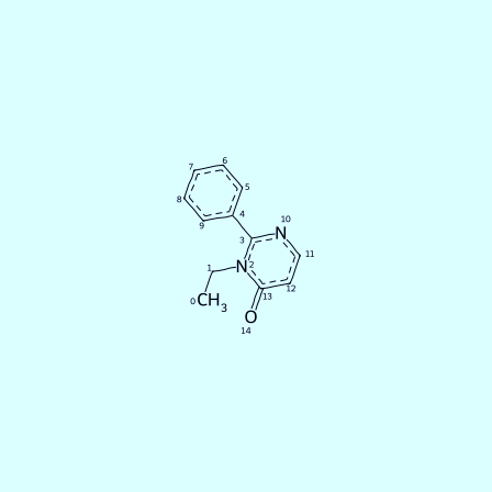 CCn1c(-c2ccccc2)nccc1=O